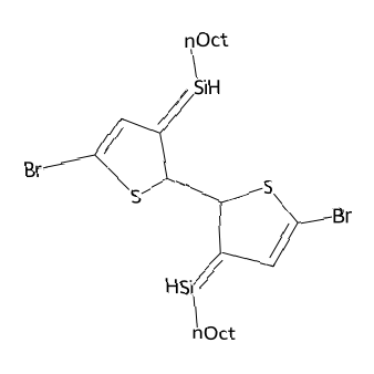 CCCCCCCC/[SiH]=C1\C=C(Br)SC1C1SC(Br)=C/C1=[SiH]\CCCCCCCC